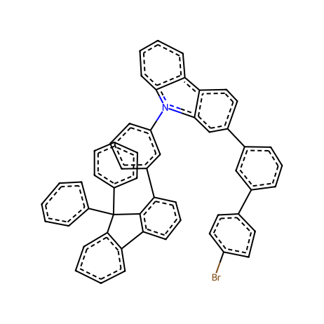 Brc1ccc(-c2cccc(-c3ccc4c5ccccc5n(-c5cccc(-c6cccc7c6C(c6ccccc6)(c6ccccc6)c6ccccc6-7)c5)c4c3)c2)cc1